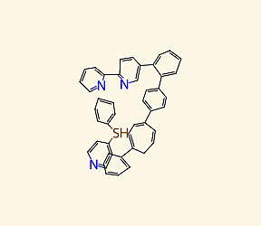 C1=CC(c2ccc(-c3ccccc3-c3ccc(-c4ccccn4)nc3)cc2)=CC([SH](c2ccccc2)c2ccncc2)=C(c2ccccc2)C1